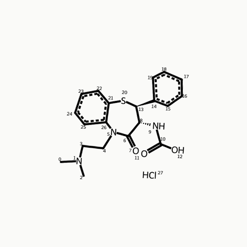 CN(C)CCN1C(=O)[C@@H](NC(=O)O)[C@H](c2ccccc2)Sc2ccccc21.Cl